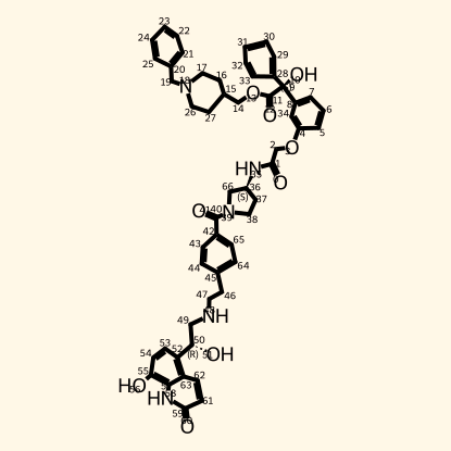 O=C(COc1cccc([C@](O)(C(=O)OCC2CCN(Cc3ccccc3)CC2)c2ccccc2)c1)N[C@H]1CCN(C(=O)c2ccc(CCNC[C@H](O)c3ccc(O)c4[nH]c(=O)ccc34)cc2)C1